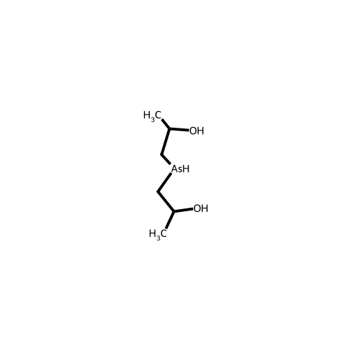 CC(O)C[AsH]CC(C)O